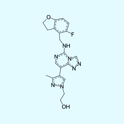 Cc1nn(CCO)cc1-c1cnc(NCc2c(F)ccc3c2CCO3)n2cnnc12